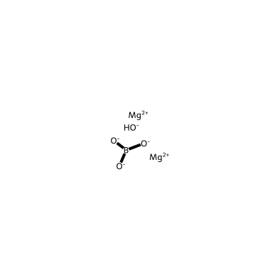 [Mg+2].[Mg+2].[O-]B([O-])[O-].[OH-]